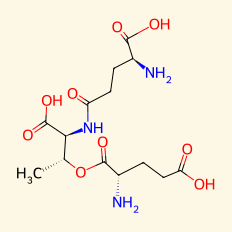 C[C@@H](OC(=O)[C@@H](N)CCC(=O)O)[C@H](NC(=O)CC[C@H](N)C(=O)O)C(=O)O